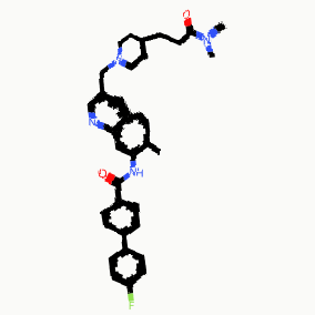 Cc1cc2cc(CN3CCC(CCC(=O)N(C)C)CC3)cnc2cc1NC(=O)c1ccc(-c2ccc(F)cc2)cc1